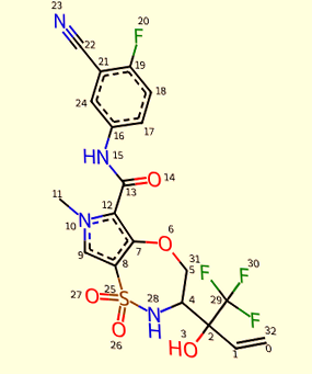 C=CC(O)(C1COc2c(cn(C)c2C(=O)Nc2ccc(F)c(C#N)c2)S(=O)(=O)N1)C(F)(F)F